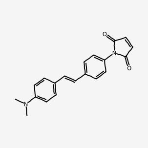 CN(C)c1ccc(C=Cc2ccc(N3C(=O)C=CC3=O)cc2)cc1